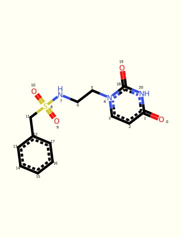 O=c1ccn(CCNS(=O)(=O)Cc2ccccc2)c(=O)[nH]1